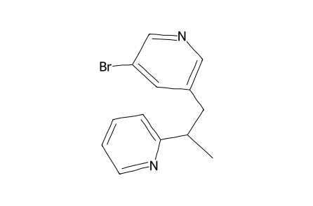 CC(Cc1cncc(Br)c1)c1ccccn1